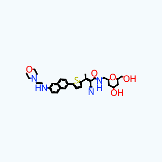 C/C(=C(/C#N)C(=O)NCC1CC(O)CC(CO)O1)c1ccc(-c2ccc3cc(NCCN4CCOCC4)ccc3c2)s1